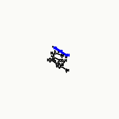 CC(=O)O.CC(=O)O.CC(C)=O.CC(C)=O.[N-]=[N+]=N